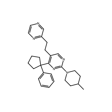 CC1CCN(c2ncc(CCc3cnccn3)c(C3(c4ccccc4)CCCC3)n2)CC1